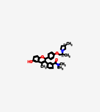 CC1=C(c2cccc(C(=O)N(C)C)c2)C(c2ccc(OC[C@H](C)N3CC[C@@H](C)C3)cc2)Oc2ccc(O)cc21